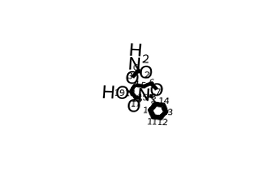 NC(=O)OC1C2CO[C@H](c3ccccc3)N2C(=O)[C@@H]1O